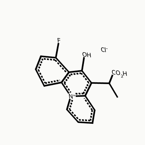 CC(C(=O)O)c1c(O)c2c(F)cccc2[n+]2ccccc12.[Cl-]